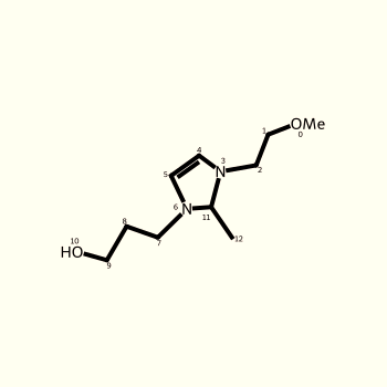 COCCN1C=CN(CCCO)C1C